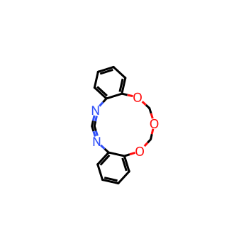 C1=Nc2ccccc2OCOCOc2ccccc2N=1